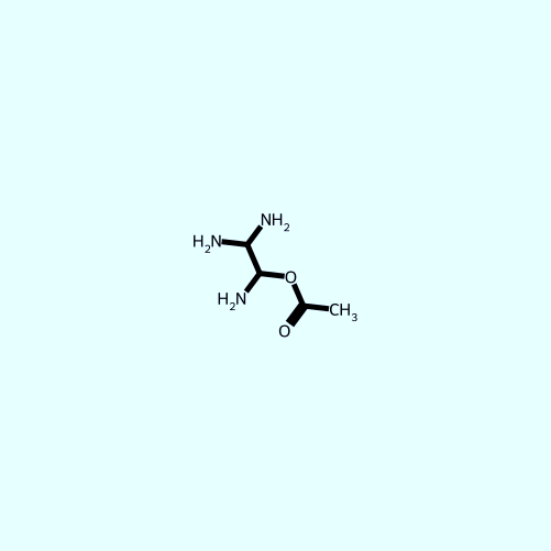 CC(=O)OC(N)C(N)N